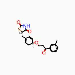 Cc1cccc(C(=O)CCO[C@]2(C)C=CC(C[C@@H]3SC(=O)NC3=O)=CC2)c1